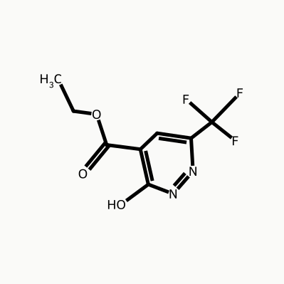 CCOC(=O)c1cc(C(F)(F)F)nnc1O